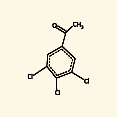 CC(=O)c1cc(Cl)c(Cl)c(Cl)c1